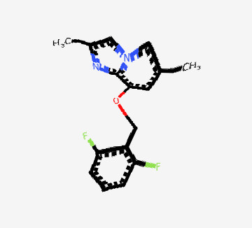 Cc1cc(OCc2c(F)cccc2F)c2nc(C)cn2c1